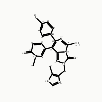 Cc1ocnc1Cn1nc2c(-c3ccc(=O)n(C)c3)c(-c3ccc(F)cc3)nc(N)n2c1=O